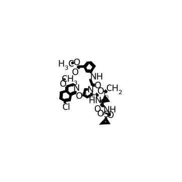 C=C[C@@H]1C[C@]1(NC(=O)[C@@H]1C[C@@H](Oc2ncc(OC)c3ccc(Cl)cc23)CN1C(=O)CNc1cccc(C(=O)OC)c1)C(=O)NS(=O)(=O)C1CC1